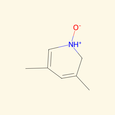 CC1=C[NH+]([O-])CC(C)=C1